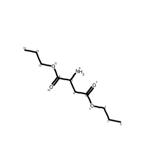 CCCOC(=O)CC(N)C(=O)OCCC